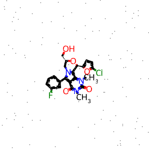 Cn1c(=O)c2c(-c3cccc(F)c3)n3c(c2n(C)c1=O)[C@H](c1ccc(Cl)o1)O[C@@H](CO)C3